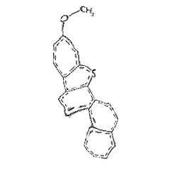 COc1ccc2c(c1)sc1c2ccc2c3ccccc3ccc21